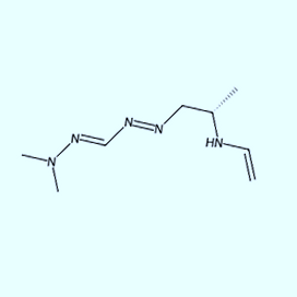 C=CN[C@@H](C)C/N=N/C=N/N(C)C